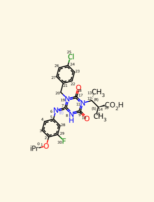 CC(C)Oc1ccc(/N=c2\[nH]c(=O)n([C@H](C)[C@H](C)C(=O)O)c(=O)n2Cc2ccc(Cl)cc2)cc1F